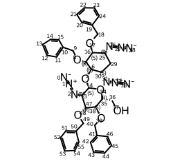 [N-]=[N+]=N[C@H]1[C@@H](O[C@H]2[C@H](OCc3ccccc3)[C@@H](OCc3ccccc3)[C@H](N=[N+]=[N-])C[C@@H]2N=[N+]=[N-])O[C@H](CO)[C@@H](OCc2ccccc2)[C@@H]1OCc1ccccc1